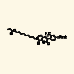 C=CC(=O)OCCCCCCCCCn1ccc2cc(-c3ccc(CCCCC)cc3C(F)(F)F)c(=O)oc2c1=O